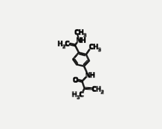 C=C(C)C(=O)Nc1ccc(C(=C)NC)c(C)c1